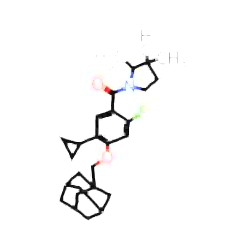 CC1N(C(=O)c2cc(C3CC3)c(OCC34CC5CC(CC(C5)C3)C4)cc2F)CCC1(C)C